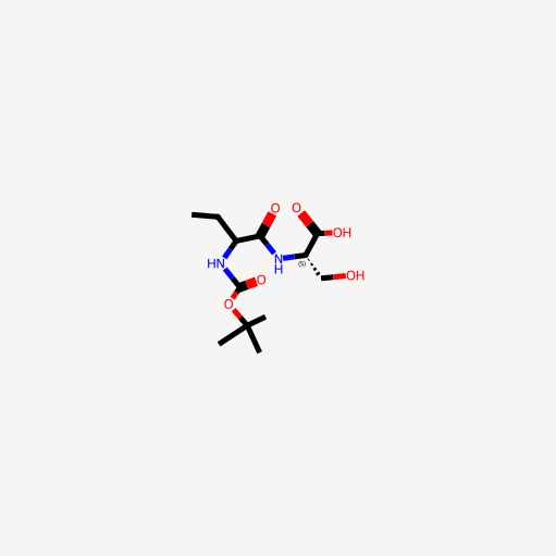 CCC(NC(=O)OC(C)(C)C)C(=O)N[C@@H](CO)C(=O)O